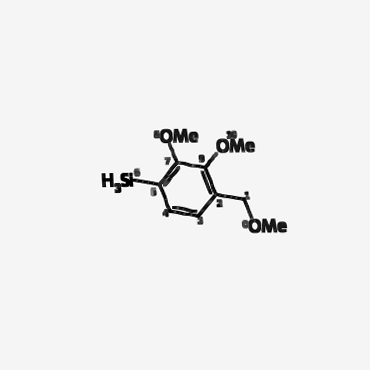 COCc1ccc([SiH3])c(OC)c1OC